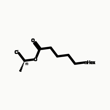 CCCCCCCCCCC(=O)O[C@H](C)Cl